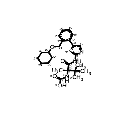 CC(C)(C)[C@](C)(NC(=O)O)C(=O)Nc1ncc(-c2ccccc2COC2CCCCC2)s1